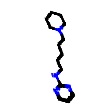 [CH]1CCN(CCCCCNc2ncccn2)CC1